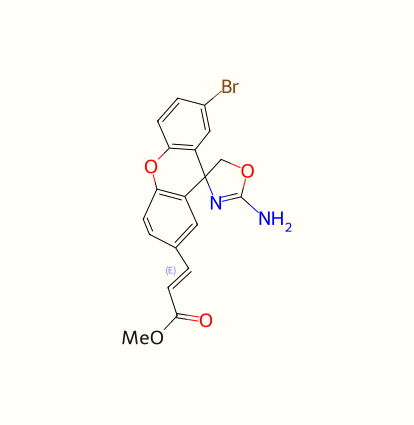 COC(=O)/C=C/c1ccc2c(c1)C1(COC(N)=N1)c1cc(Br)ccc1O2